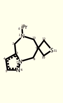 CC(C)N1Cc2ccnn2CC2(CSC2)C1